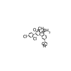 Cn1c(=O)c(-c2ccc(Cl)cc2Cl)cc2c3cc(-c4ccno4)ccc3n(C)c21